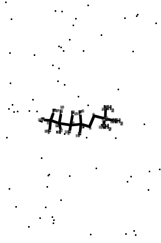 N[Si](N)(N)CCC(F)(F)C(F)(F)C(F)(F)C(F)(F)F